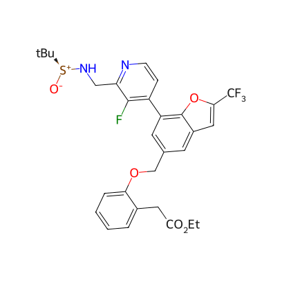 CCOC(=O)Cc1ccccc1OCc1cc(-c2ccnc(CN[S@@+]([O-])C(C)(C)C)c2F)c2oc(C(F)(F)F)cc2c1